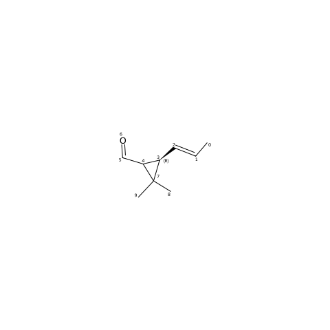 CC=C[C@@H]1C(C=O)C1(C)C